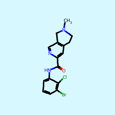 CN1CCc2cc(C(=O)Nc3cccc(Br)c3Cl)ncc2C1